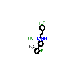 Cl.Fc1cccc(C(F)(F)F)c1-c1ccc2[nH]c(/C=C/C3CCC(F)(F)CC3)nc2c1